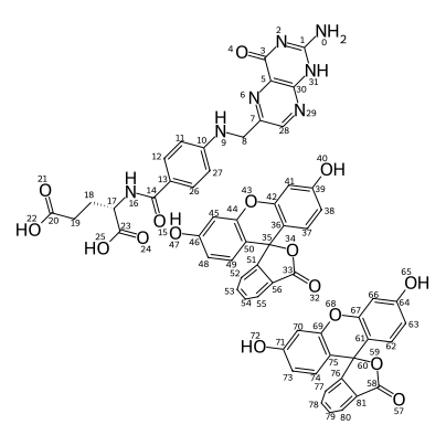 Nc1nc(=O)c2nc(CNc3ccc(C(=O)N[C@@H](CCC(=O)O)C(=O)O)cc3)cnc2[nH]1.O=C1OC2(c3ccc(O)cc3Oc3cc(O)ccc32)c2ccccc21.O=C1OC2(c3ccc(O)cc3Oc3cc(O)ccc32)c2ccccc21